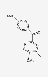 COc1ccc(C(=O)c2ccc(OC)c(C)c2)cc1